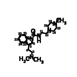 CN(C)CCc1cn(C(=O)NCCN2CCN(C)CC2)c2ccccc12